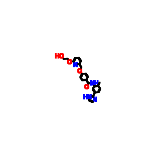 Cc1ccc(-c2ncc[nH]2)cc1NC(=O)c1ccc(OCc2cccc(OCCO)n2)cc1